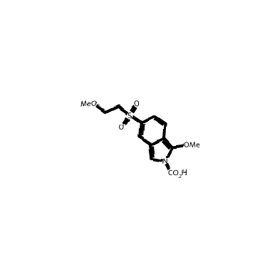 COCCS(=O)(=O)c1ccc2c(OC)n(C(=O)O)cc2c1